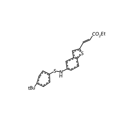 CCOC(=O)/C=C/c1cc2cc(NSc3ccc(C(C)(C)C)cc3)ccc2s1